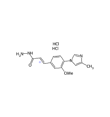 COc1cc(/C=C/C(=O)NN)ccc1-n1cnc(C)c1.Cl.Cl